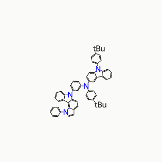 CC(C)(C)c1ccc(N(c2cccc(-n3c4ccccc4c4c5c(ccc43)ccn5-c3ccccc3)c2)c2ccc3c(c2)c2ccccc2n3-c2ccc(C(C)(C)C)cc2)cc1